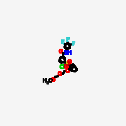 COCCOCCOC[C@]1(O)C2CCC1C[C@@H](S(=O)(=O)c1cc(C(=O)Nc3cc(F)c(F)c(F)c3)ccc1Cl)C2